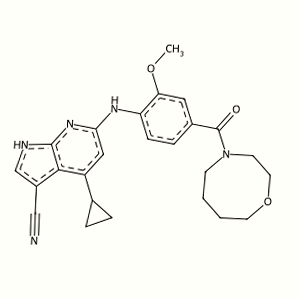 COc1cc(C(=O)N2CCCCOCC2)ccc1Nc1cc(C2CC2)c2c(C#N)c[nH]c2n1